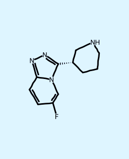 Fc1ccc2nnc([C@H]3CCCNC3)n2c1